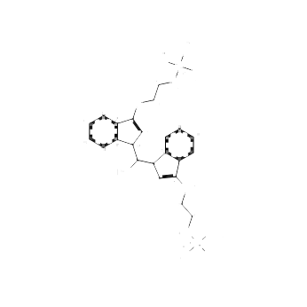 CC(C1C=C(OCCO[Si](C)(C)C)c2ccccc21)C1C=C(OCCO[Si](C)(C)C)c2ccccc21